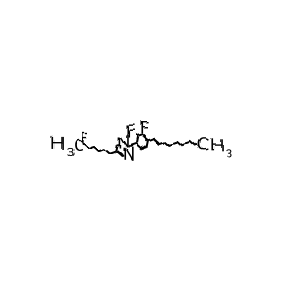 CCCCCCCC=Cc1ccc(-c2ncc(CCCCCC(C)F)cn2)c(F)c1F